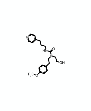 O=C(NCCCc1ccncc1)N(CCO)CCc1ccc(OC(F)(F)F)cc1